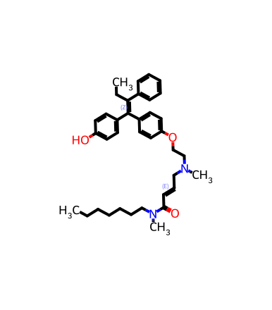 CCCCCCCN(C)C(=O)/C=C/CN(C)CCOc1ccc(/C(=C(/CC)c2ccccc2)c2ccc(O)cc2)cc1